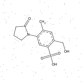 Cc1cc(CO)c(S(=O)(=O)O)cc1N1CCCC1=O